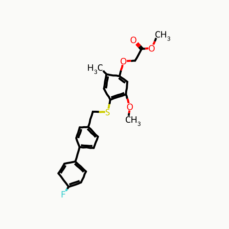 COC(=O)COc1cc(OC)c(SCc2ccc(-c3ccc(F)cc3)cc2)cc1C